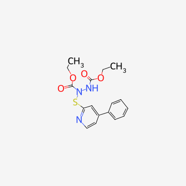 CCOC(=O)NN(Sc1cc(-c2ccccc2)ccn1)C(=O)OCC